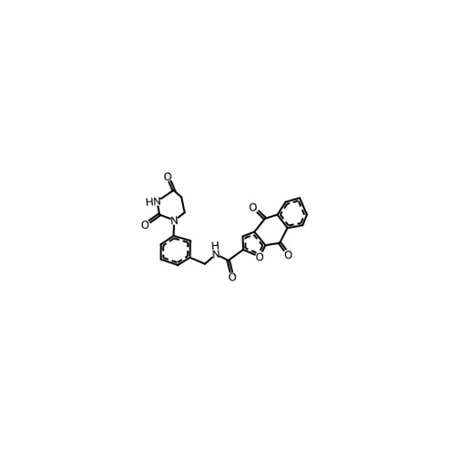 O=C1CCN(c2cccc(CNC(=O)c3cc4c(o3)C(=O)c3ccccc3C4=O)c2)C(=O)N1